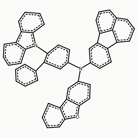 c1ccc(-c2cc(N(c3ccc4c(c3)-c3cccc5cccc-4c35)c3ccc4oc5ccccc5c4c3)ccc2-n2c3ccccc3c3ccccc32)cc1